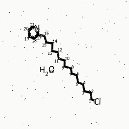 ClCCCCCCCCCCCCCCCCc1ccccn1.O